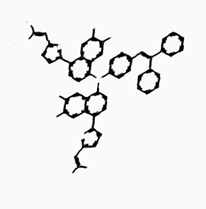 C/C(=C/c1ccc(-c2ccc(N(c3ccc(C=C(c4ccccc4)c4ccccc4)cc3)c3ccc(-c4ccc(/C=C(/C#N)C(=O)O)s4)c4cc(C)c(C)cc34)c3cc(C)c(C)cc23)s1)C(=O)O